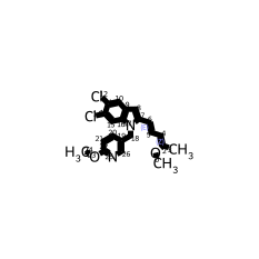 CO/C(C)=C\C=C\c1cc2cc(Cl)c(Cl)cc2n1Cc1ccc(OC)nc1